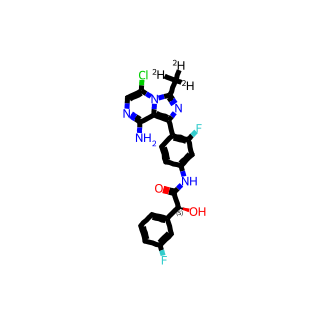 [2H]C([2H])([2H])c1nc(-c2ccc(NC(=O)[C@@H](O)c3cccc(F)c3)cc2F)c2c(N)ncc(Cl)n12